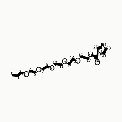 CCCOCCOCCOCCOCCOCCOC(=O)n1ccnc1